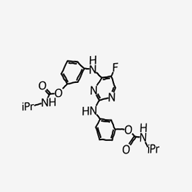 CC(C)NC(=O)Oc1cccc(Nc2ncc(F)c(Nc3cccc(OC(=O)NC(C)C)c3)n2)c1